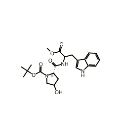 COC(=O)C(Cc1c[nH]c2ccccc12)NC(=O)[C@@H]1CC(O)CN1C(=O)OC(C)(C)C